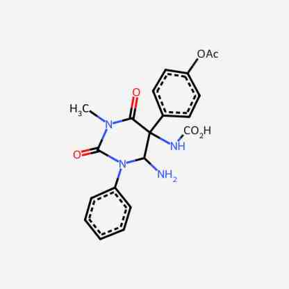 CC(=O)Oc1ccc(C2(NC(=O)O)C(=O)N(C)C(=O)N(c3ccccc3)C2N)cc1